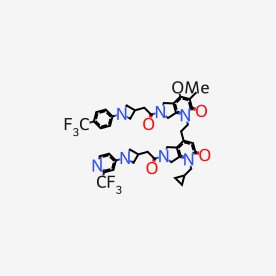 COc1c2c(n(CCc3cc(=O)n(CC4CC4)c4c3CN(C(=O)CC3CN(c5ccnc(C(F)(F)F)c5)C3)C4)c(=O)c1C)CN(C(=O)CC1CN(c3ccc(C(F)(F)F)cc3)C1)C2